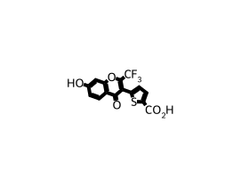 O=C(O)c1ccc(-c2c(C(F)(F)F)oc3cc(O)ccc3c2=O)s1